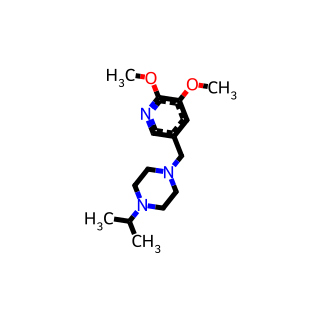 COc1cc(CN2CCN(C(C)C)CC2)cnc1OC